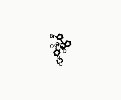 O=c1c2ccccc2c(-c2cccc(Br)c2)nn1-c1cc(N2CCOCC2)ccc1[N+](=O)[O-]